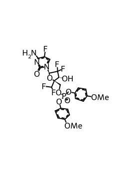 COc1ccc(OP(=O)(OC[C@@]2(C(F)F)O[C@@H](n3cc(F)c(N)nc3=O)C(F)(F)[C@@H]2O)Oc2ccc(OC)cc2)cc1